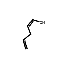 C=CC/C=[C]\O